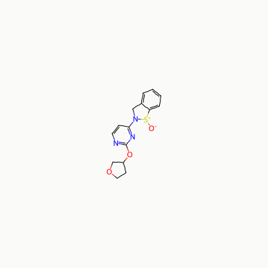 [O-][S+]1c2ccccc2CN1c1ccnc(OC2CCOC2)n1